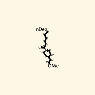 CCCCCCCCCCCCCCCC(=O)N1CCC(CCOC)CC1